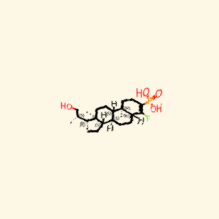 C[C@H](CO)[C@H]1CC[C@H]2[C@@H]3CC[C@H]4C(F)=C(P(=O)(O)O)CC[C@]4(C)[C@H]3CC[C@]12C